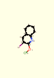 ClOc1nc2ccccc2cc1I